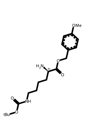 COc1ccc(COC(=O)[C@H](N)CCCCNC(=O)OC(C)(C)C)cc1